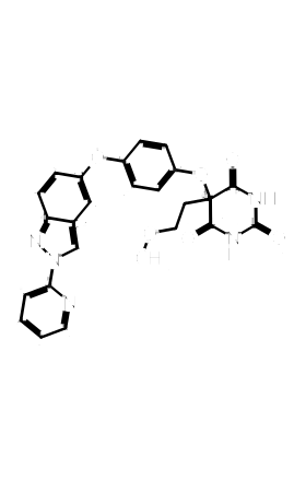 COCCC1(Oc2ccc(Oc3ccc4nn(-c5ccccn5)cc4c3)cc2)C(=O)NC(=O)NC1=O